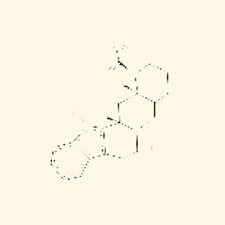 COC(=O)[C@H]1CCC[C@H]2CN3CCc4c(n(O)c5ccccc45)[C@@H]3C[C@@H]21.Cl